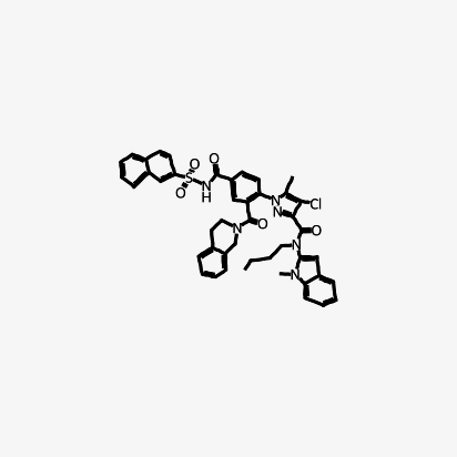 CCCCN(C(=O)c1nn(-c2ccc(C(=O)NS(=O)(=O)c3ccc4ccccc4c3)cc2C(=O)N2CCc3ccccc3C2)c(C)c1Cl)c1cc2ccccc2n1C